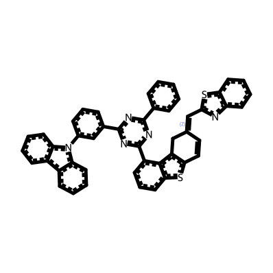 C1=Cc2sc3cccc(-c4nc(-c5ccccc5)nc(-c5cccc(-n6c7ccccc7c7ccccc76)c5)n4)c3c2C/C1=C/c1nc2ccccc2s1